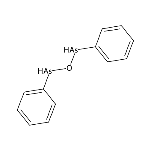 c1ccc([AsH]O[AsH]c2ccccc2)cc1